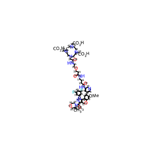 COc1cc2c(cc1-c1cncc(NC(=O)CCCNC(=O)CCOCCNC(=O)CN3CCN(CC(=O)O)CCN(CC(=O)O)CCN(CC(=O)O)CC3)c1)-c1c(c(C(=O)N3CCOCC3(C)C)nn1-c1cc(F)cc(F)c1)CO2